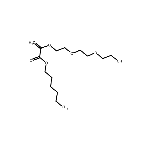 C=C(OCCOCCOCCO)C(=O)OCCCCCC